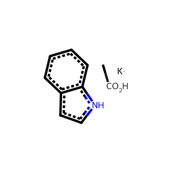 CC(=O)O.[K].c1ccc2[nH]ccc2c1